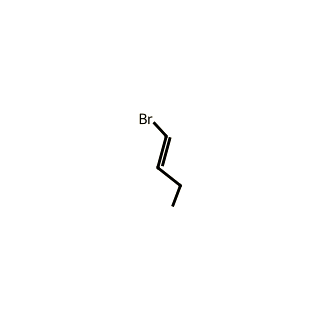 CC/C=C/Br